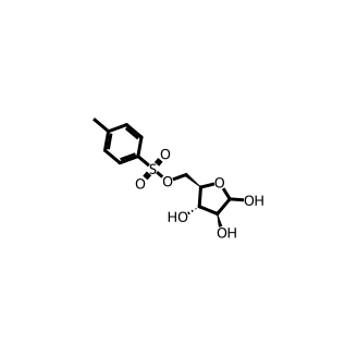 Cc1ccc(S(=O)(=O)OC[C@H]2OC(O)[C@@H](O)[C@@H]2O)cc1